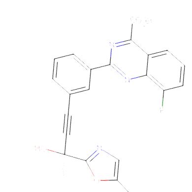 CCOC(=O)c1nc(-c2cccc(C#C[C@](C)(O)c3ncc(C)o3)c2)nc2c(F)cccc12